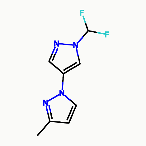 Cc1ccn(-c2cnn(C(F)F)c2)n1